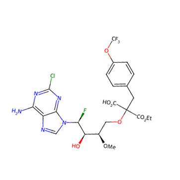 CCOC(=O)C(Cc1ccc(OC(F)(F)F)cc1)(OC[C@@H](OC)[C@@H](O)[C@H](F)n1cnc2c(N)nc(Cl)nc21)C(=O)O